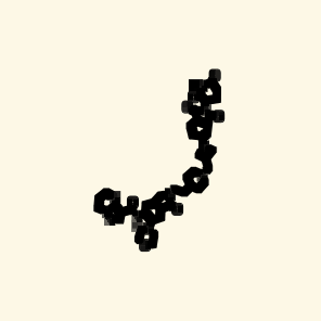 O=C1CCC(N2C(=O)c3ccc(N4CC(CN5CCC(CCN6Cc7cc(NC(=O)c8cnn9cccnc89)c(N8CCOCC8)cc7C6=O)CC5)C4)cc3C2=O)C(=O)N1